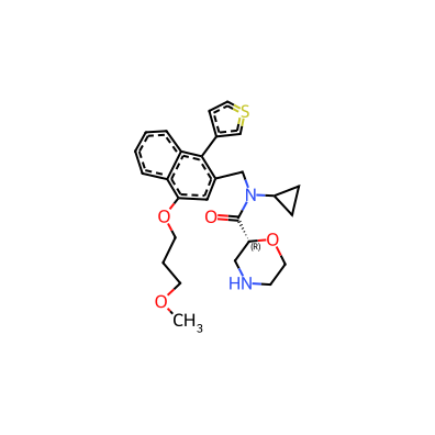 COCCCOc1cc(CN(C(=O)[C@H]2CNCCO2)C2CC2)c(-c2ccsc2)c2ccccc12